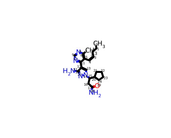 CCC/C=C\c1c(C)ncnc1-c1cn(C(CC(N)=O)C2CCCC2)nc1N